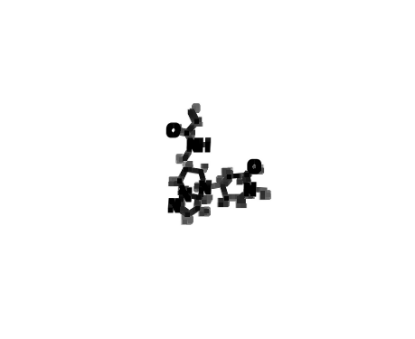 C=CC(=O)NC[C@@H]1CN(c2ccn(C)c(=O)c2)c2ccnn2C1